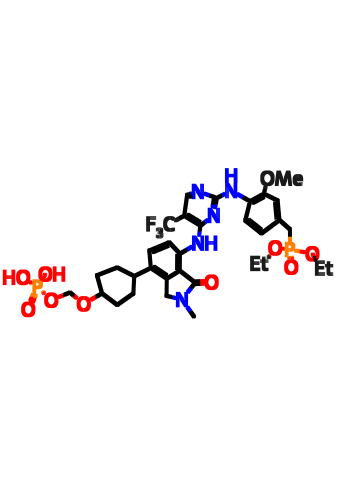 CCOP(=O)(Cc1ccc(Nc2ncc(C(F)(F)F)c(Nc3ccc(C4CCC(OCOP(=O)(O)O)CC4)c4c3C(=O)N(C)C4)n2)c(OC)c1)OCC